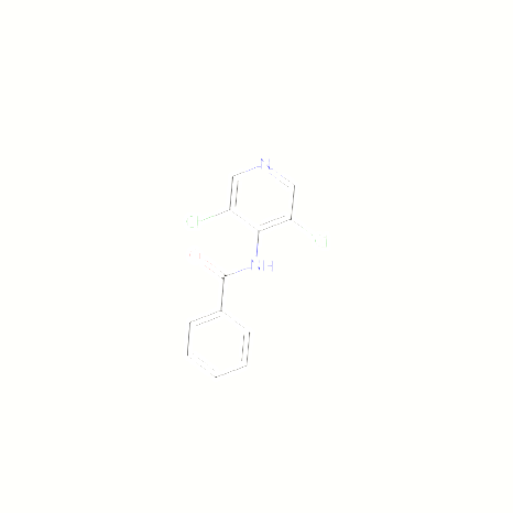 O=C(Nc1c(Cl)cncc1Cl)c1ccccc1